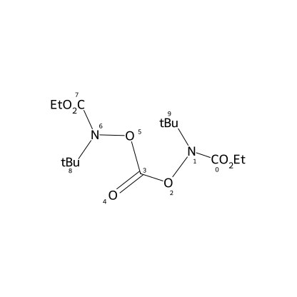 CCOC(=O)N(OC(=O)ON(C(=O)OCC)C(C)(C)C)C(C)(C)C